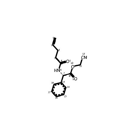 C=CCCC(=O)N[C@H](C(=O)OCC#N)c1ccccc1